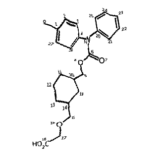 Cc1ccc(N(C(=O)OCC2CCCC(COCC(=O)O)C2)c2ccccc2)cc1